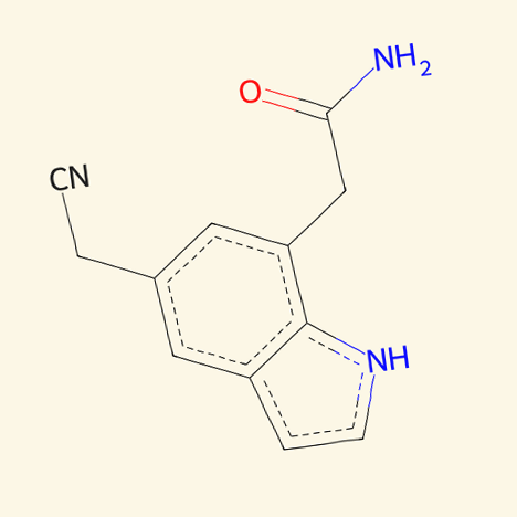 N#CCc1cc(CC(N)=O)c2[nH]ccc2c1